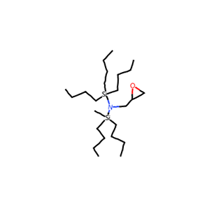 CCCC[Si](C)(CCCC)N(CC1CO1)[Si](CCCC)(CCCC)CCCC